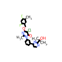 Cc1cc(COc2nc(C)n(-c3cccc(-c4ccnc(C(C)(C)O)n4)c3)c(=O)c2Cl)c(F)cc1F